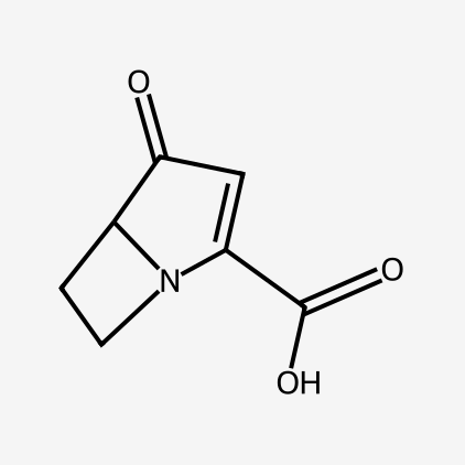 O=C(O)C1=CC(=O)C2CCN12